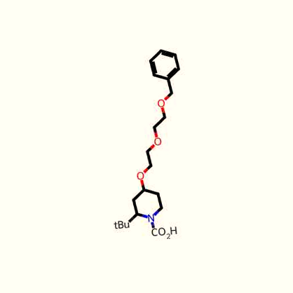 CC(C)(C)C1CC(OCCOCCOCc2ccccc2)CCN1C(=O)O